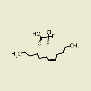 CCCC/C=C\CCCCCC.O=C(O)C(F)(F)Cl